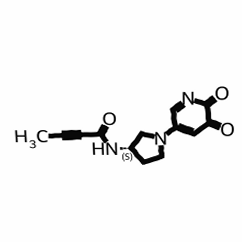 CC#CC(=O)N[C@H]1CCN(C2=CC(=O)C(=O)N=C2)C1